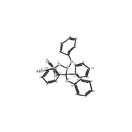 O=P(O)(O)ON(Oc1ccccc1)C(Oc1ccccc1)(c1ccccc1)c1ccccc1